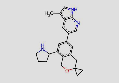 Cc1c[nH]c2ncc(-c3cc4c(c(C5CCCN5)c3)COC3(CC3)C4)cc12